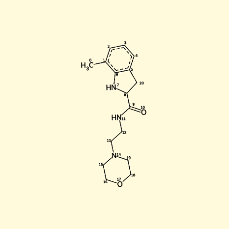 Cc1cccc2c1NC(C(=O)NCCN1CCOCC1)C2